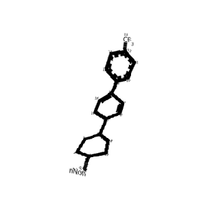 CCCCCCCCCC1CCC(C2C=CC(c3ccc(C(F)(F)F)cc3)=CC2)CC1